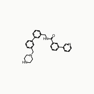 O=C(NCc1cccc(-c2cccc(CN3CCNCC3)c2)c1)c1cccc(-c2cccnc2)c1